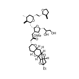 C=C1CCO[C@H]1CC[C@H]1C[C@@H](C)C(=C)[C@@H](C[C@@H]2O[C@H](C[C@H](O)CO)[C@H](OC)[C@H]2CC(=O)C[C@H]2CC[C@@H]3O[C@H]4C5O[C@]6(CC)C[C@H]5O[C@H]4[C@@H](O6)[C@H]3O2)O1